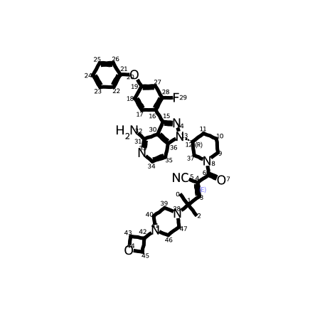 CC(C)(/C=C(\C#N)C(=O)N1CCC[C@@H](n2nc(-c3ccc(Oc4ccccc4)cc3F)c3c(N)nccc32)C1)N1CCN(C2COC2)CC1